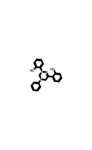 N#Cc1ccccc1N1CN(c2ccccc2)CC(c2ccccc2O)=N1